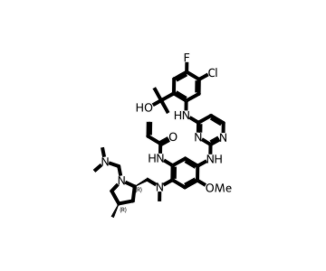 C=CC(=O)Nc1cc(Nc2nccc(Nc3cc(Cl)c(F)cc3C(C)(C)O)n2)c(OC)cc1N(C)C[C@H]1C[C@@H](C)CN1CN(C)C